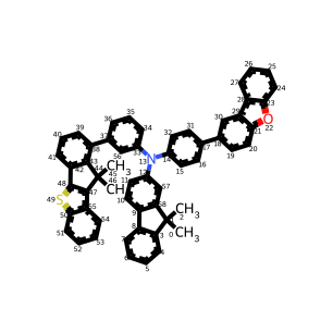 CC1(C)c2ccccc2-c2ccc(N(c3ccc(-c4ccc5oc6ccccc6c5c4)cc3)c3cccc(-c4cccc5c4C(C)(C)c4c-5sc5ccccc45)c3)cc21